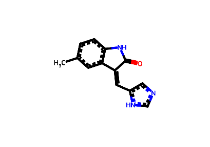 Cc1ccc2c(c1)/C(=C/c1cnc[nH]1)C(=O)N2